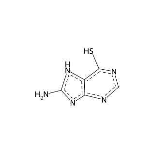 Nc1nc2ncnc(S)c2[nH]1